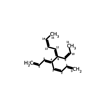 C=C\C=C/C(=C\C=C)C(/C=C\C)=C\C=C/C